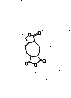 O=C1OCC2CCC3C(=O)OC(=O)C3CCC12